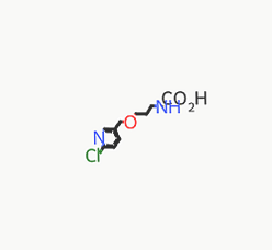 O=C(O)NCCCOCc1ccc(Cl)nc1